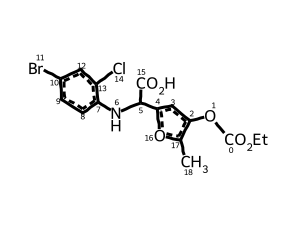 CCOC(=O)Oc1cc(C(Nc2ccc(Br)cc2Cl)C(=O)O)oc1C